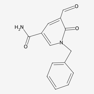 NC(=O)c1cc(C=O)c(=O)n(Cc2ccccc2)c1